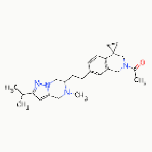 CC(=O)N1Cc2cc(CCC3Cn4nc(C(C)C)cc4CN3C)ccc2C2(CC2)C1